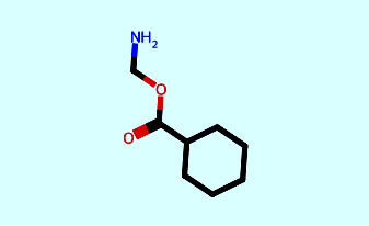 NCOC(=O)C1CCCCC1